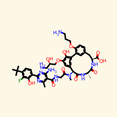 Cc1nc(-c2ccc(C(C)(C)C)c(F)c2O)nc(N)c1C(=O)NCC(=O)N(C)[C@@H]1C(=O)N[C@@H](C)C(=O)N[C@H](C(=O)O)Cc2ccc(OCCCN)c(c2)-c2cc1cc(OC[C@H](O)CN)c2O